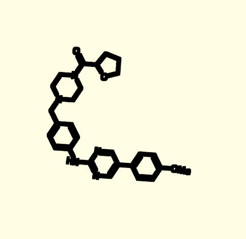 COc1ccc(-c2cnc(Nc3ccc(CN4CCN(C(=O)C5CCCO5)CC4)cc3)nc2)cc1